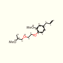 C=CCc1ccc(OCCOCC(C)OC)c(OC)c1